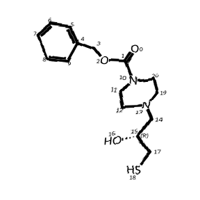 O=C(OCc1ccccc1)N1CCN(C[C@@H](O)CS)CC1